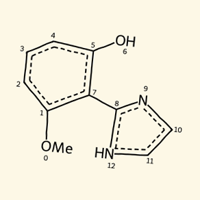 COc1cccc(O)c1-c1ncc[nH]1